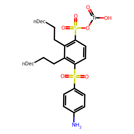 CCCCCCCCCCCCc1c(S(=O)(=O)[O][Ti](=[O])[OH])ccc(S(=O)(=O)c2ccc(N)cc2)c1CCCCCCCCCCCC